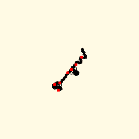 CCCCC/C=C\C/C=C\C/C=C\C/C=C\CCCCC(CCCCCCCCCCCO[Si](c1ccccc1)(c1ccccc1)C(C)(C)C)S(=O)(=O)c1ccccc1